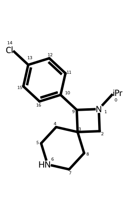 CC(C)N1CC2(CCNCC2)C1c1ccc(Cl)cc1